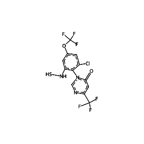 O=c1cc(C(F)(F)F)ncn1-c1c(Cl)cc(OC(F)(F)F)cc1NS